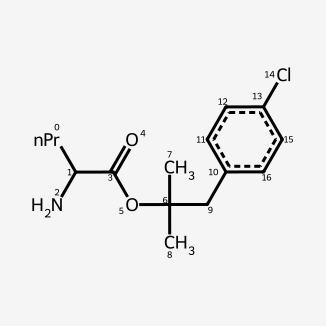 CCCC(N)C(=O)OC(C)(C)Cc1ccc(Cl)cc1